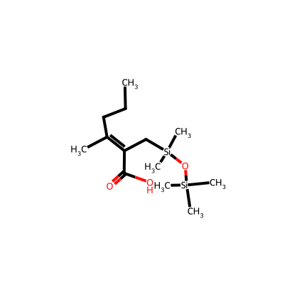 CCCC(C)=C(C[Si](C)(C)O[Si](C)(C)C)C(=O)O